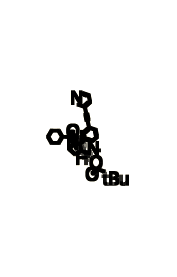 CN1c2ccc(C#Cc3cccnc3)cc2[C@@H]2[C@@H](CCN2C(=O)C2CCCCC2)[C@H]1COC(=O)CC(C)(C)C